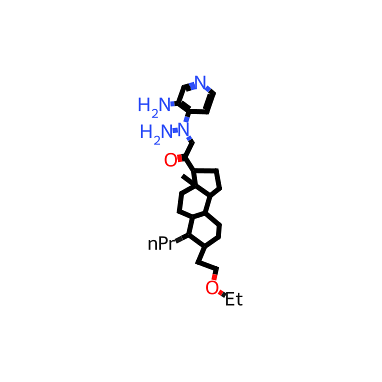 CCCC1C(CCOCC)CCC2C1CCC1(C)C(C(=O)CN(N)c3ccncc3N)CCC21